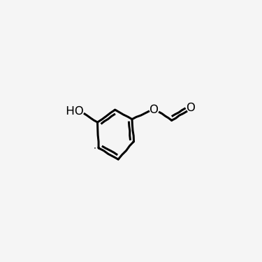 O=COc1cc[c]c(O)c1